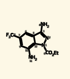 CCOC(=O)n1nc(N)c2cc(C(F)(F)F)cc(N)c21